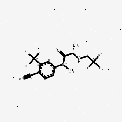 C[C@H](NCC(F)(F)F)C(=O)N(C)c1ccc(C#N)c(C(F)(F)F)c1